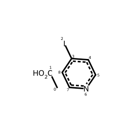 CC(=O)O.Ic1ccncc1